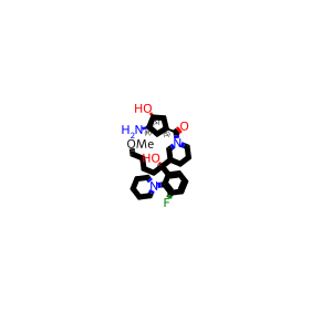 COCCCC[C@@](O)(c1cccc(F)c1N1CCCCC1)C1CCCN(C(=O)[C@H]2C[C@@H](N)[C@@H](O)C2)C1